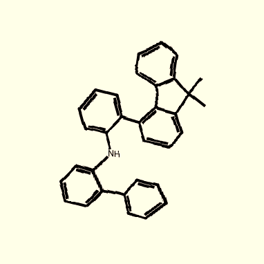 CC1(C)c2ccccc2-c2c(-c3ccccc3Nc3ccccc3-c3ccccc3)cccc21